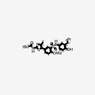 COc1ccc(-c2sc(NC(=O)C(C)(C)C)nc2C)cc1S(=O)(=O)Nc1ccc(O)c(CC(C)C)c1